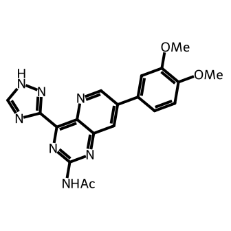 COc1ccc(-c2cnc3c(-c4nc[nH]n4)nc(NC(C)=O)nc3c2)cc1OC